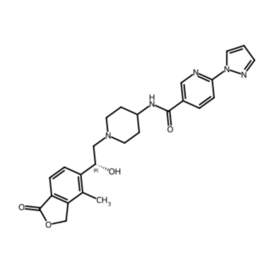 Cc1c([C@@H](O)CN2CCC(NC(=O)c3ccc(-n4cccn4)nc3)CC2)ccc2c1COC2=O